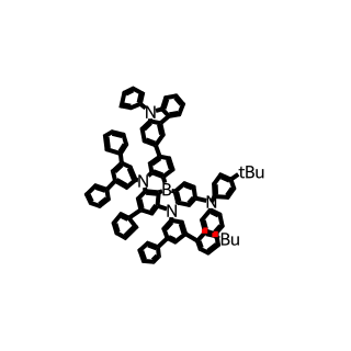 CC(C)(C)c1ccc(N(c2ccc(C(C)(C)C)cc2)c2ccc3c(c2)N(c2cc(-c4ccccc4)cc(-c4ccccc4)c2)c2cc(-c4ccccc4)cc4c2B3c2ccc(-c3ccc5c(c3)c3ccccc3n5-c3ccccc3)cc2N4c2cc(-c3ccccc3)cc(-c3ccccc3)c2)cc1